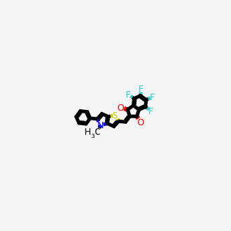 Cn1c(-c2ccccc2)cc2sc(C=C3C(=O)c4c(F)c(F)c(F)c(F)c4C3=O)cc21